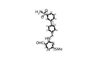 CSc1ncc(C=O)c(NCc2ccc(-c3cccc(S(N)(=O)=O)c3)cc2)n1